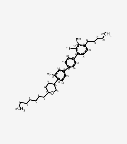 CCCCCCCC1CCC(c2ccc(-c3ccc(-c4ccc(CCCCC)c(F)c4F)cc3)cc2F)CO1